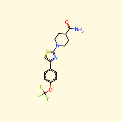 NC(=O)C1CCN(c2nc(-c3ccc(OC(F)(F)F)cc3)cs2)CC1